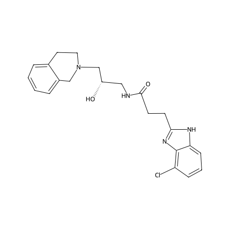 O=C(CCc1nc2c(Cl)cccc2[nH]1)NC[C@H](O)CN1CCc2ccccc2C1